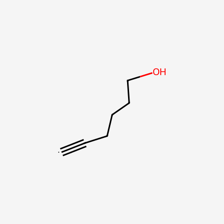 [C]#CCCCCO